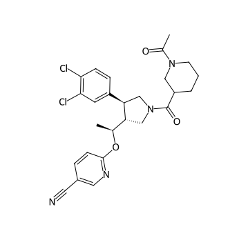 CC(=O)N1CCCC(C(=O)N2C[C@H]([C@H](C)Oc3ccc(C#N)cn3)[C@@H](c3ccc(Cl)c(Cl)c3)C2)C1